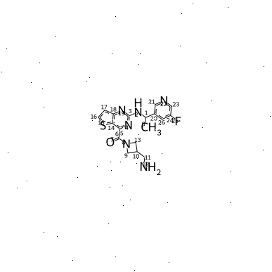 CC(Nc1nc(C(=O)N2CC(CN)C2)c2sccc2n1)c1cncc(F)c1